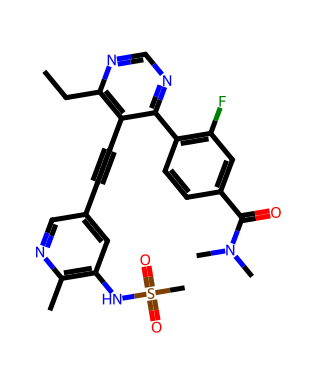 CCc1ncnc(-c2ccc(C(=O)N(C)C)cc2F)c1C#Cc1cnc(C)c(NS(C)(=O)=O)c1